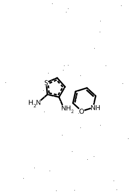 C1=CNOC=C1.Nc1ccsc1N